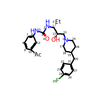 CC[C@@H](NC(=O)Nc1cccc(C(C)=O)c1)[C@H](O)CN1CCC(Cc2ccc(F)cc2)CC1